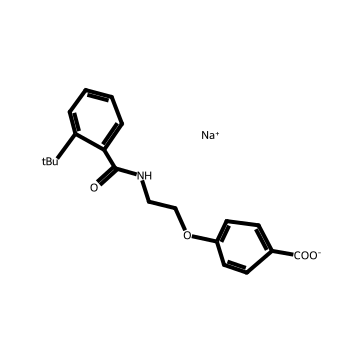 CC(C)(C)c1ccccc1C(=O)NCCOc1ccc(C(=O)[O-])cc1.[Na+]